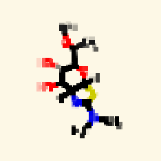 CCCCO[C@H]([C@H]1O[C@@H]2SC(N(C)C)=N[C@@H]2[C@@H](O)[C@@H]1O)C(F)(F)F